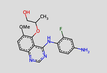 COc1ccc2ncnc(Nc3ccc(N)cc3F)c2c1OC(C)CO